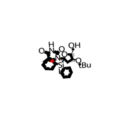 Cc1cn([C@@]2([SiH](c3ccccc3)c3ccccc3)C[C@H](OC(C)(C)C)[C@@H](CO)O2)c(=O)[nH]c1=O